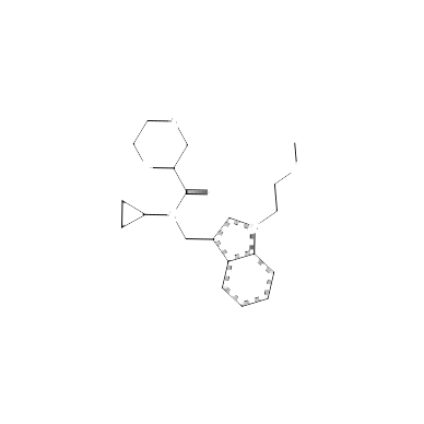 COCCn1cc(CN(C(=O)C2CNCCO2)C2CC2)c2ccccc21